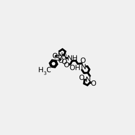 Cc1ccc(S(=O)(=O)N2CCC[C@H]2C(=O)NC(CCC(=O)N2CCC(CN3C(=O)CCC3=O)CC2)C(=O)O)cc1